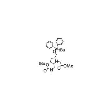 COC(=O)CN1C(CO[Si](c2ccccc2)(c2ccccc2)C(C)(C)C)CCC1CN(C)C(=O)OC(C)(C)C